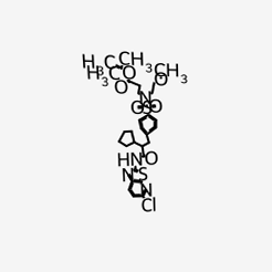 COCCN(CCC(=O)OC(C)(C)C)S(=O)(=O)c1ccc(CC(C(=O)Nc2nc3ccc(Cl)nc3s2)C2CCCC2)cc1